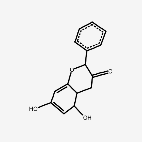 O=C1CC2C(=CC(O)=CC2O)OC1c1ccccc1